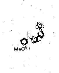 COC(=O)[C@@H]1CCC[C@H](Nc2ncc(F)c(C3=CCCN(C(=O)OC(C)(C)C)C3)n2)C1